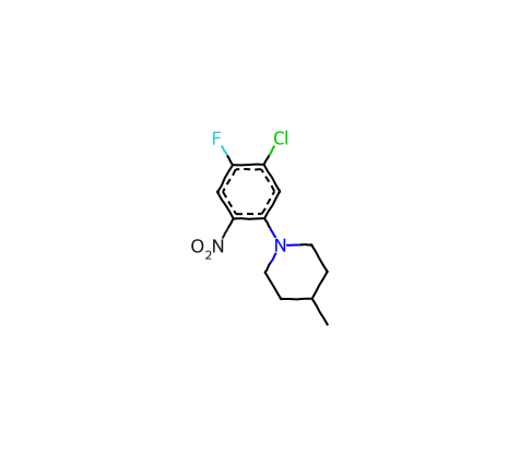 CC1CCN(c2cc(Cl)c(F)cc2[N+](=O)[O-])CC1